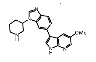 COc1cnc2[nH]cc(-c3ccc4ncn(C5CCCNC5)c4c3)c2c1